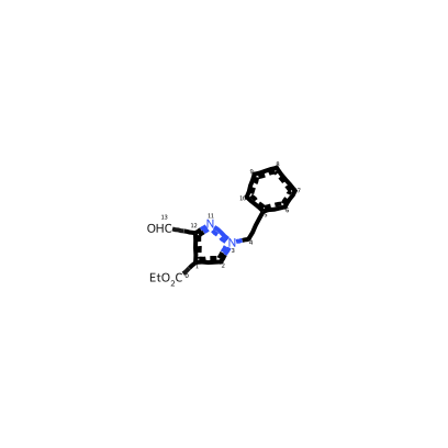 CCOC(=O)c1cn(Cc2ccccc2)nc1C=O